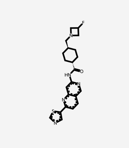 O=C(Nc1cc2nc(-c3cncs3)ccc2cn1)[C@H]1CC[C@H](CN2CC(F)C2)CC1